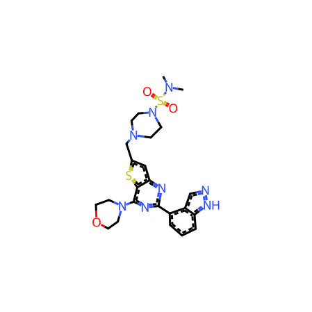 CN(C)S(=O)(=O)N1CCN(Cc2cc3nc(-c4cccc5[nH]ncc45)nc(N4CCOCC4)c3s2)CC1